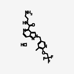 Cc1cc(Cn2cc3c(C(=O)NCCN)nccc3n2)cnc1OCC(F)(F)F.Cl